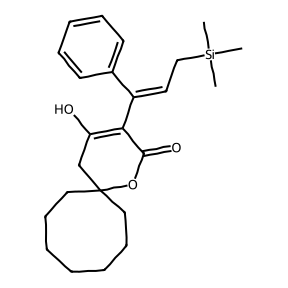 C[Si](C)(C)CC=C(C1=C(O)CC2(CCCCCCC2)OC1=O)c1ccccc1